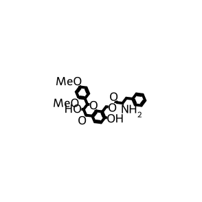 COc1ccc(C2Oc3c(ccc(O)c3COC(=O)[C@@H](N)Cc3ccccc3)C(=O)C2O)c(OC)c1